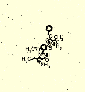 CCCc1cn(C)c2c(=O)[nH]c(-c3cc(S(=O)(=O)N[C@H](C(=O)OCc4ccccc4)C(C)C)ccc3OCC)nc12